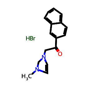 Br.CN1C=CN(CC(=O)c2ccc3ccccc3c2)C1